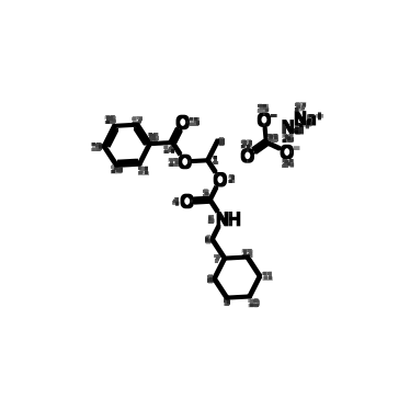 CC(OC(=O)NCC1CCCCC1)OC(=O)c1ccccc1.O=C([O-])[O-].[Na+].[Na+]